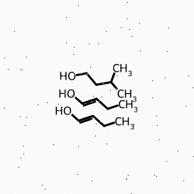 CC(C)CCO.CCC=CO.CCC=CO